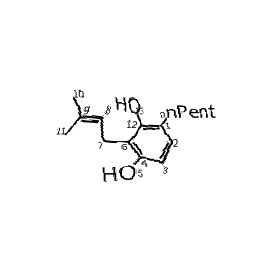 CCCCCc1ccc(O)c(CC=C(C)C)c1O